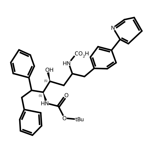 CC(C)(C)OC(=O)N[C@@H](C(Cc1ccccc1)c1ccccc1)[C@@H](O)CC(Cc1ccc(-c2ccccn2)cc1)NC(=O)O